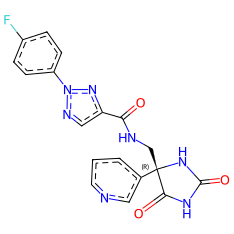 O=C1NC(=O)[C@](CNC(=O)c2cnn(-c3ccc(F)cc3)n2)(c2cccnc2)N1